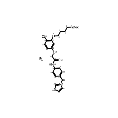 CCCCCCCCCCCCCCOc1cc(OCC(=O)Nc2ccc(C[n+]3ccsc3)cc2)ccc1Cl.[Br-]